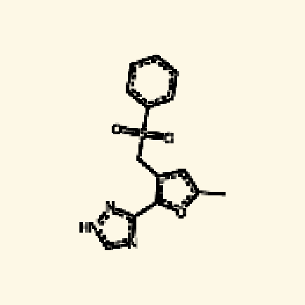 Cc1cc(CS(=O)(=O)c2ccccc2)c(-c2nc[nH]n2)o1